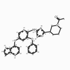 CC(=O)N1CCCC(c2nsc(Nc3ncc(Sc4ccnc5ccsc45)cc3Oc3ccccc3)n2)C1